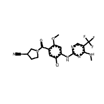 CNc1nc(Nc2cc(OC)c(C(=O)N3CCC(C#N)C3)cc2Cl)ncc1C(F)(F)F